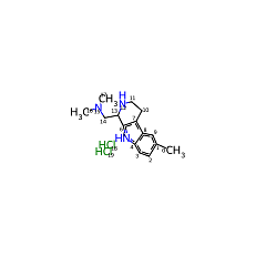 Cc1ccc2[nH]c3c(c2c1)CCNC3CN(C)C.Cl.Cl